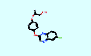 CC(CO)Oc1ccc(Oc2cnc3cc(F)ccc3n2)cc1